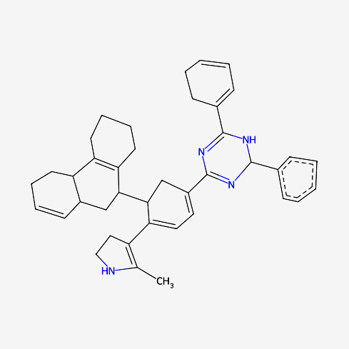 CC1=C(C2=CC=C(C3=NC(c4ccccc4)NC(C4=CC=CCC4)=N3)CC2C2CC3C=CCCC3C3=C2CCCC3)CCN1